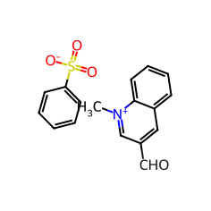 C[n+]1cc(C=O)cc2ccccc21.O=S(=O)([O-])c1ccccc1